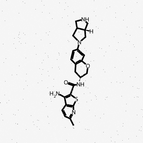 Cc1ccc2c(N)c(C(=O)N[C@H]3COc4cc(N5CC6CNC[C@@H]6C5)ccc4C3)sc2n1